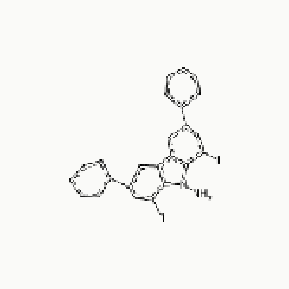 Nn1c2c(I)cc(-c3ccccc3)cc2c2cc(-c3ccccc3)cc(I)c21